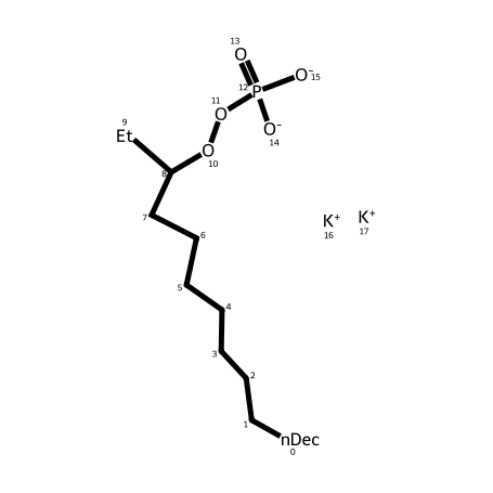 CCCCCCCCCCCCCCCCCC(CC)OOP(=O)([O-])[O-].[K+].[K+]